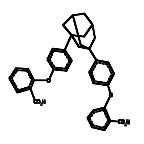 O=C(O)c1ccccc1Oc1ccc(C23CC4CC(C2)CC(c2ccc(Oc5ccccc5C(=O)O)cc2)(C4)C3)cc1